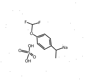 C[CH]([Na])c1ccc(OC(F)F)cc1.O=S(=O)(O)O